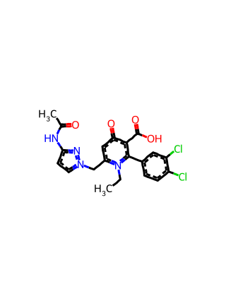 CCn1c(Cn2ccc(NC(C)=O)n2)cc(=O)c(C(=O)O)c1-c1ccc(Cl)c(Cl)c1